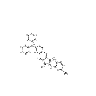 CCN1C(=O)/C(=C\c2ccc(N(c3ccccc3)c3ccccc3)cc2)OC1=Nc1cc(C)ccc1C=O